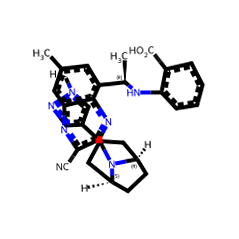 Cc1cc([C@@H](C)Nc2ccccc2C(=O)O)c2nc(N3[C@@H]4CC[C@H]3CC(c3cnn(C)c3)C4)c(C#N)nc2c1